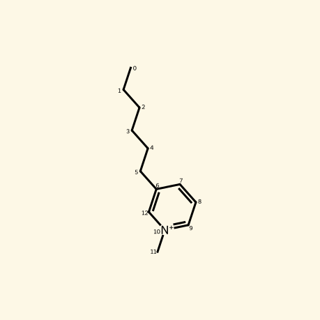 CCCCCCc1ccc[n+](C)c1